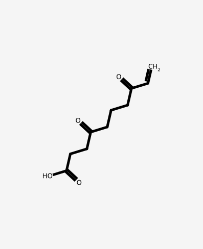 C=CC(=O)CCCC(=O)CCC(=O)O